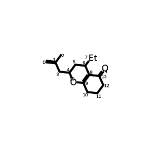 C=C(C)CC1CC(CC)C2=C(CCCC2=O)O1